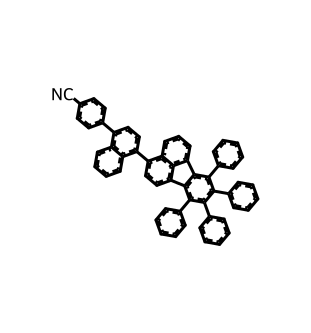 N#Cc1ccc(-c2ccc(-c3ccc4c5c(cccc35)-c3c(-c5ccccc5)c(-c5ccccc5)c(-c5ccccc5)c(-c5ccccc5)c3-4)c3ccccc23)cc1